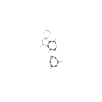 N#Cc1cc(F)cc(Oc2cnc(C(F)(F)F)c3c2C(O)CC32OCCO2)c1